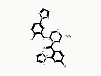 C[C@@H]1CN(C(=O)c2ccc(Cl)cc2-n2nccn2)[C@H](Cc2cc(-n3nccn3)ccc2F)CO1